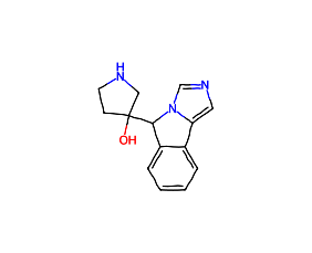 OC1(C2c3ccccc3-c3cncn32)CCNC1